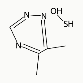 Cc1ncnnc1C.OS